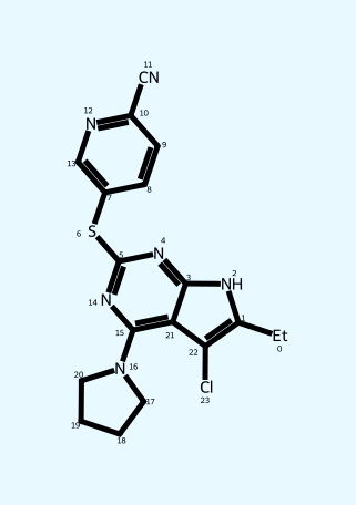 CCc1[nH]c2nc(Sc3ccc(C#N)nc3)nc(N3CCCC3)c2c1Cl